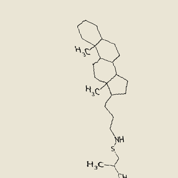 CC(C)CSNCCCC1CCC2C3CCC4CCCCC4(C)C3CCC12C